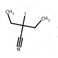 CCC(I)(C#N)CC